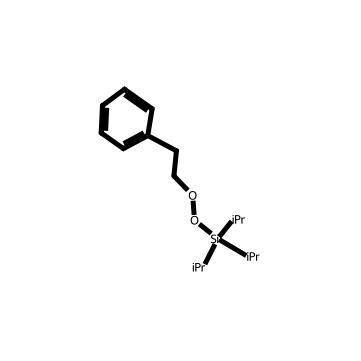 CC(C)[Si](OOCCc1ccccc1)(C(C)C)C(C)C